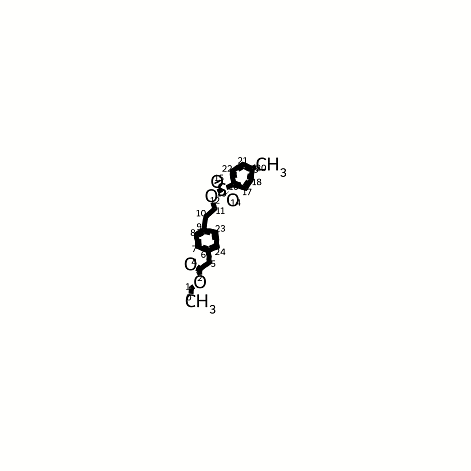 CCOC(=O)Cc1ccc(CCOS(=O)(=O)c2ccc(C)cc2)cc1